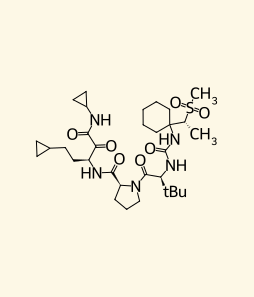 C[C@H](C1(NC(=O)N[C@H](C(=O)N2CCC[C@H]2C(=O)N[C@@H](CCC2CC2)C(=O)C(=O)NC2CC2)C(C)(C)C)CCCCC1)S(C)(=O)=O